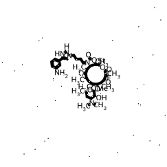 CC[C@H]1OC(=O)[C@@](C)(F)C(=O)[C@H](C)[C@@H](OC2O[C@H](C)C[C@H](N(C)C)[C@H]2O)[C@@](C)(OC)C[C@@H](C)C(=O)[C@H](C)C2N(CCCCN3C=C(c4cccc(N)c4)NN3)C(=O)O[C@@]21C